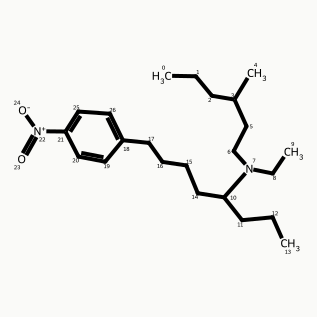 CCCC(C)CCN(CC)C(CCC)CCCCc1ccc([N+](=O)[O-])cc1